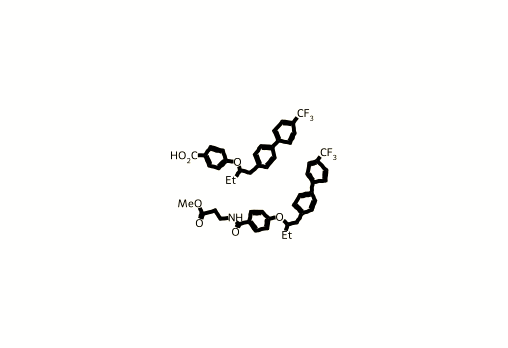 CCC(Cc1ccc(-c2ccc(C(F)(F)F)cc2)cc1)Oc1ccc(C(=O)NCCC(=O)OC)cc1.CCC(Cc1ccc(-c2ccc(C(F)(F)F)cc2)cc1)Oc1ccc(C(=O)O)cc1